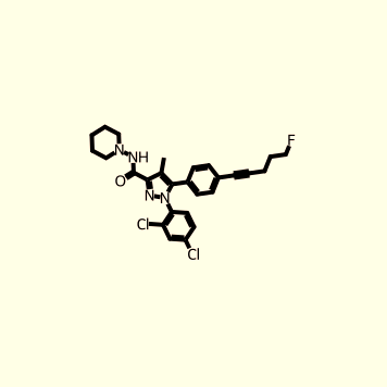 Cc1c(C(=O)NN2CCCCC2)nn(-c2ccc(Cl)cc2Cl)c1-c1ccc(C#CCCCF)cc1